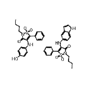 CCCCN1C(=O)C(Nc2ccc(O)cc2)=C(c2ccccc2)S1(=O)=O.CCCCN1C(=O)C(Nc2ccc3[nH]ccc3c2)=C(c2ccccc2)S1(=O)=O